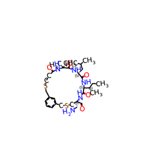 CC[C@H](C)[C@@H]1NC(=O)[C@H](CC(C)C)NC(=O)C(C)(C)NC(=O)CCSCc2cccc(c2)CSC[C@@](C=O)(CN)NC1=O